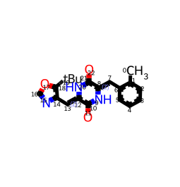 Cc1ccccc1/C=c1\[nH]c(=O)/c(=C/c2ncoc2C(C)(C)C)[nH]c1=O